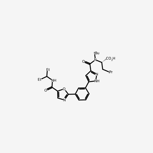 CCC(CC)NC(=O)c1cnc(-c2cccc(-c3cc(C(=O)N([C@@H](CC(C)C)C(=O)O)C(C)(C)C)n[nH]3)c2)o1